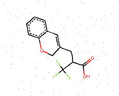 O=C(O)C(CC1=Cc2ccccc2OC1)C(F)(F)F